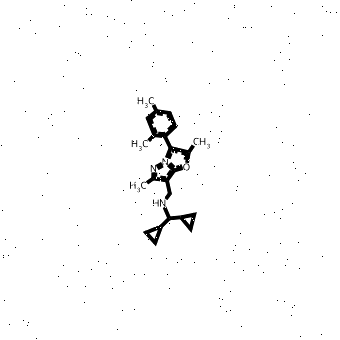 Cc1ccc(-c2c(C)oc3c(CNC(C4CC4)C4CC4)c(C)nn23)c(C)c1